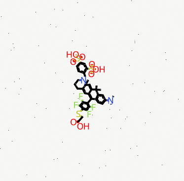 CN(C)c1ccc2c(c1)C(C)(C)C1=CC3(C)C(=CC1=C2c1c(F)c(F)c(SCC(=O)O)c(F)c1F)CCCN3Cc1ccc(S(=O)(=O)O)cc1S(=O)(=O)O